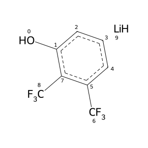 Oc1cccc(C(F)(F)F)c1C(F)(F)F.[LiH]